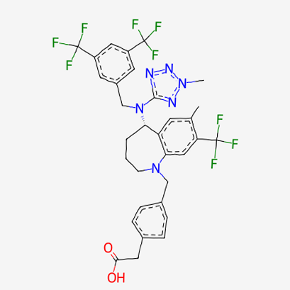 Cc1cc2c(cc1C(F)(F)F)N(Cc1ccc(CC(=O)O)cc1)CCC[C@@H]2N(Cc1cc(C(F)(F)F)cc(C(F)(F)F)c1)c1nnn(C)n1